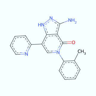 Cc1ccccc1-n1cc(-c2ccccn2)c2[nH]nc(N)c2c1=O